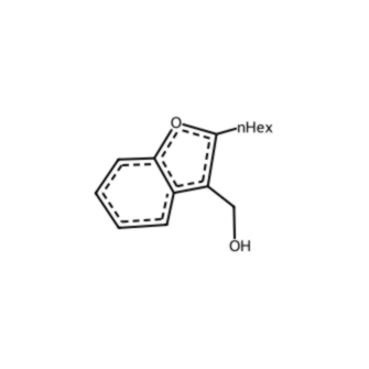 CCCCCCc1oc2ccccc2c1CO